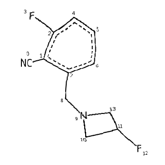 N#Cc1c(F)cccc1CN1CC(F)C1